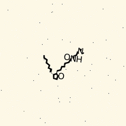 CCCCCCC=C[C@H]1CCC(=O)[C@@H]1CCCCCCC(=O)NCCCN(C)C